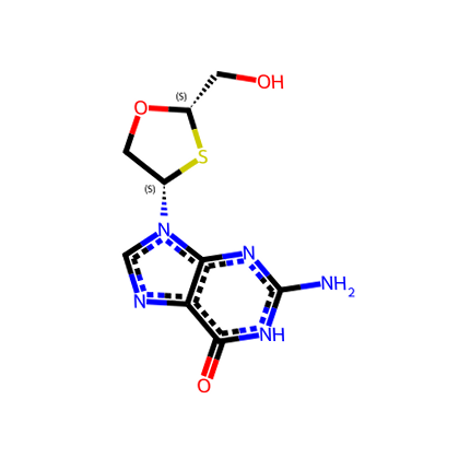 Nc1nc2c(ncn2[C@@H]2CO[C@H](CO)S2)c(=O)[nH]1